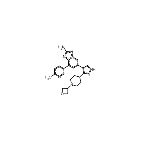 Nc1nc2c(-c3ccc(C(F)(F)F)nc3)cc(-c3c[nH]nc3C3CCN(C4COC4)CC3)cn2n1